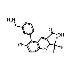 NCc1cccc(-c2c(Cl)ccc3c2C=C(C(=O)O)C(C(F)(F)F)O3)c1